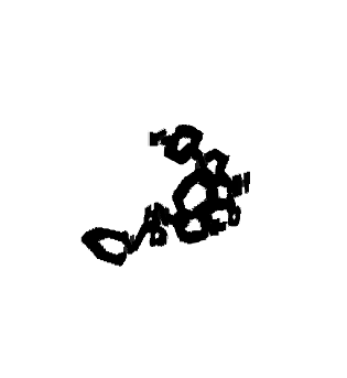 CN1C=CC(NC(=O)CCN2CCCCC2)=c2ccc3c4c([nH]c(=O)c-4c21)=CCN3c1ccc(F)cc1